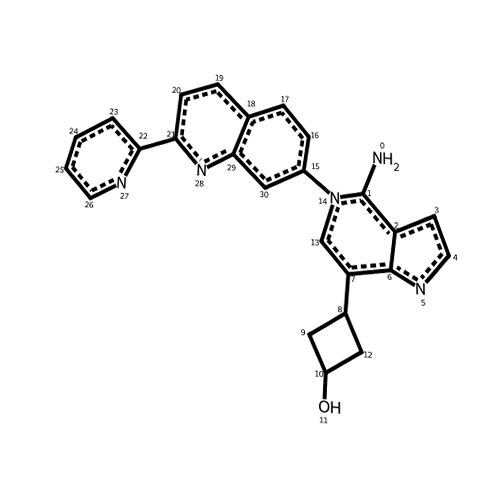 Nc1c2ccnc-2c(C2CC(O)C2)cn1-c1ccc2ccc(-c3ccccn3)nc2c1